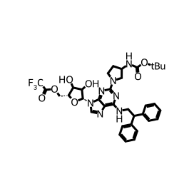 CC(C)(C)OC(=O)NC1CCN(c2nc(NCC(c3ccccc3)c3ccccc3)c3ncn([C@@H]4O[C@H](COC(=O)C(F)(F)F)C(O)C4O)c3n2)C1